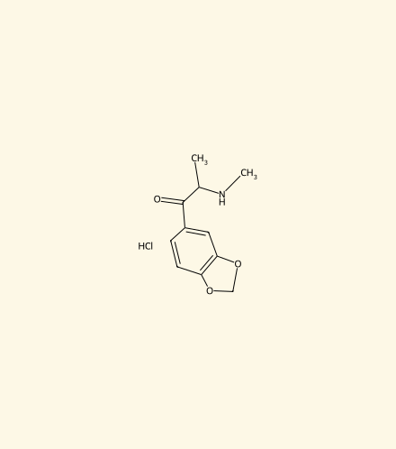 CNC(C)C(=O)c1ccc2c(c1)OCO2.Cl